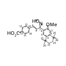 COc1cc2c(cc1C(C=Cc1ccc(C(=O)O)cc1)=NO)C(C)(C)CCC2(C)C